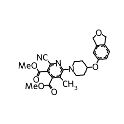 COC(=O)c1c(C#N)nc(N2CCC(Oc3ccc4c(c3)COC4)CC2)c(C)c1C(=O)OC